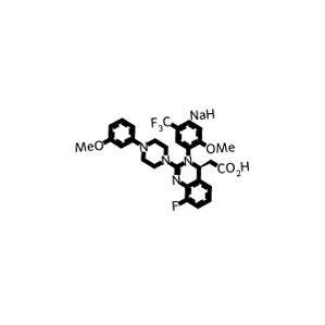 COc1cccc(N2CCN(C3=Nc4c(F)cccc4[C@H](CC(=O)O)N3c3cc(C(F)(F)F)ccc3OC)CC2)c1.[NaH]